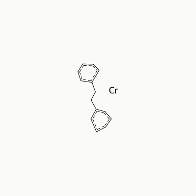 [Cr].c1ccc(CCc2ccccc2)cc1